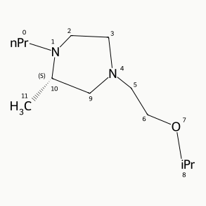 CCCN1CCN(CCOC(C)C)C[C@@H]1C